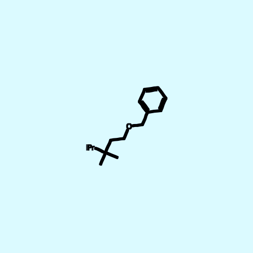 CC(C)C(C)(C)CCOCc1ccccc1